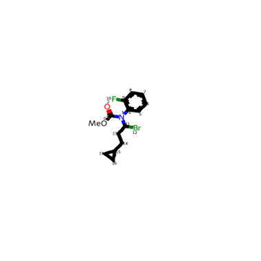 COC(=O)N(c1ccccc1F)C(Br)CCC1CC1